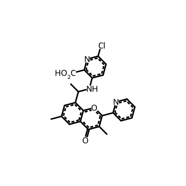 Cc1cc(C(C)Nc2ccc(Cl)nc2C(=O)O)c2oc(-c3ccccn3)c(C)c(=O)c2c1